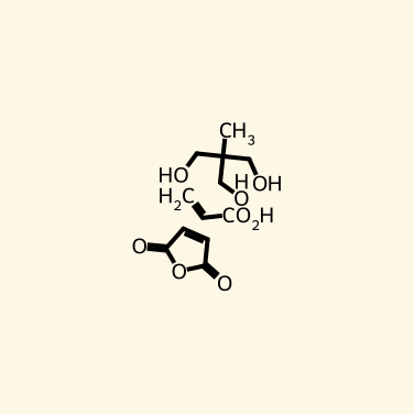 C=CC(=O)O.CC(CO)(CO)CO.O=C1C=CC(=O)O1